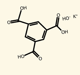 O=C(O)c1cc(C(=O)O)cc(C(=O)O)c1.[K+].[OH-]